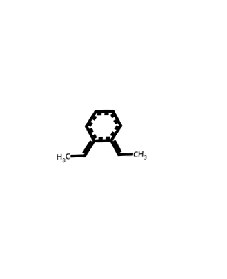 CC=c1ccccc1=CC